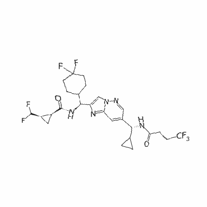 O=C(CCC(F)(F)F)N[C@@H](c1cnn2cc([C@@H](NC(=O)[C@H]3C[C@H]3C(F)F)C3CCC(F)(F)CC3)nc2c1)C1CC1